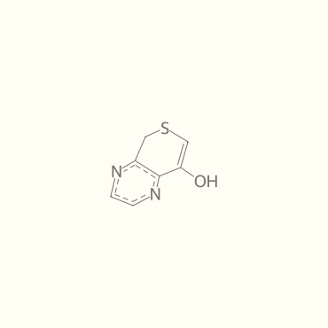 OC1=CSCc2nccnc21